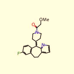 COCC(=O)N1CCC(=C2c3ccc(F)cc3CCc3cccnc32)CC1